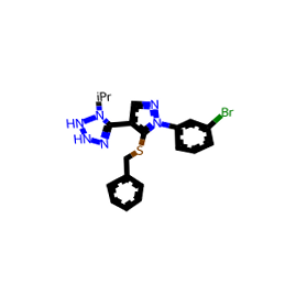 CC(C)N1NNN=C1c1cnn(-c2cccc(Br)c2)c1SCc1ccccc1